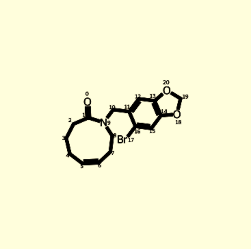 O=C1CCCC=CCCN1Cc1cc2c(cc1Br)OCO2